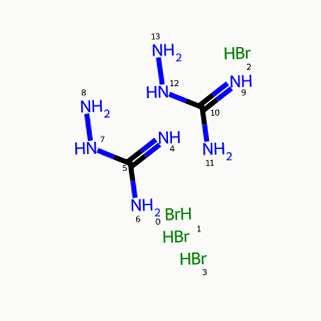 Br.Br.Br.Br.N=C(N)NN.N=C(N)NN